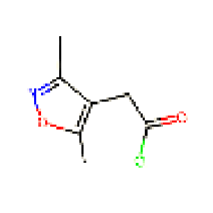 Cc1noc(C)c1CC(=O)Cl